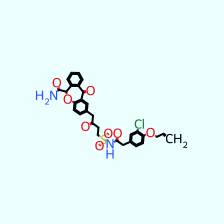 C=CCOc1ccc(CC(=O)NS(=O)(=O)CCC(=O)Cc2ccc3c(c2)C(=O)c2ccccc2C(C(N)=O)O3)cc1Cl